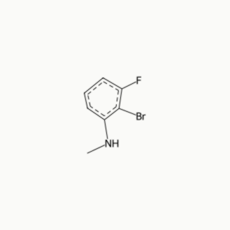 CNc1cccc(F)c1Br